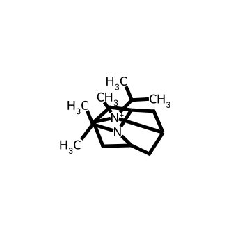 CC(C)N1C2CC3CC1CC(C2)[N+]3(C)C(C)C